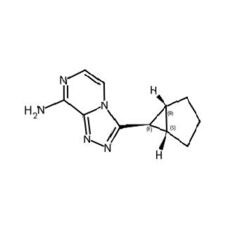 Nc1nccn2c([C@H]3[C@@H]4CCC[C@@H]43)nnc12